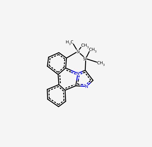 C[Si]1(C)c2cccc3c4ccccc4c4ncc(n4c23)[Si]1(C)C